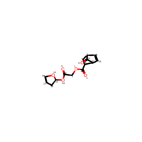 O=C(COC(=O)C1CC2C=CC1C2=O)OC1CCCO1